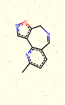 Cc1ccc2c(n1)-c1cnoc1CN=C2